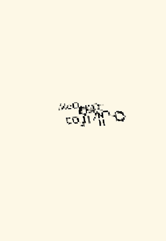 CO[C@H]1C[C@@H](C(=O)O)N(C(=O)[C@H](C)NC(CCc2ccccc2)C(=O)O)C1